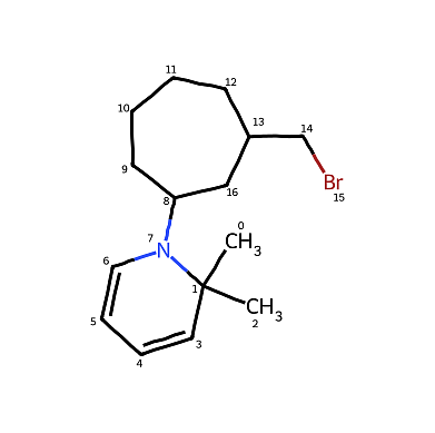 CC1(C)C=CC=CN1C1CCCCC(CBr)C1